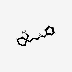 OCC1(CCCOCc2ccccc2)CCCCC1